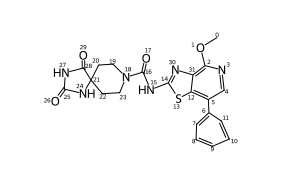 COc1ncc(-c2ccccc2)c2sc(NC(=O)N3CCC4(CC3)NC(=O)NC4=O)nc12